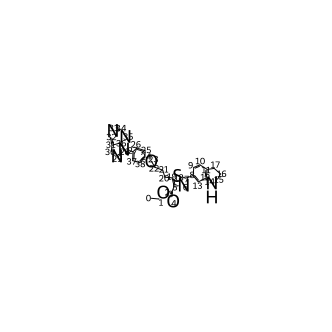 CCOC(=O)c1nc(-c2ccc3c(c2)NCCC3)sc1CCCOc1ccc(-n2ncc3cncnc32)cc1